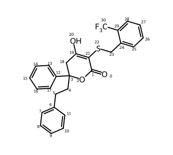 O=C1OC(CCc2ccccc2)(c2ccccc2)CC(O)=C1SCc1ccccc1C(F)(F)F